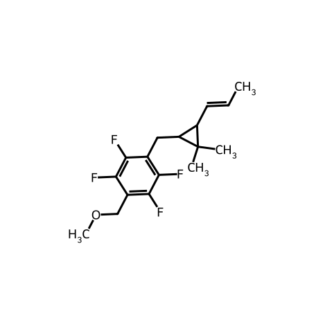 CC=CC1C(Cc2c(F)c(F)c(COC)c(F)c2F)C1(C)C